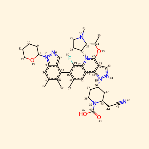 Cc1cc2c(cnn2C2CCCCO2)c(-c2c(C)cc3c(nc(OC(C)[C@@H]4CCCN4C)c4cnn([C@H]5CCN(C(=O)O)[C@H](CC#N)C5)c43)c2F)c1C